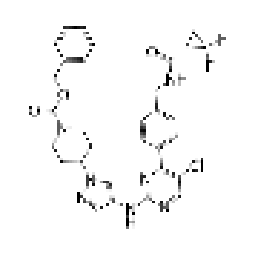 O=C(NCc1ccc(-c2nc(Nc3cnn(C4CCN(C(=O)OCc5ccccc5)CC4)c3)ncc2Cl)cc1)[C@@H]1CC1(F)F